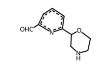 O=Cc1cccc(C2CNCCO2)n1